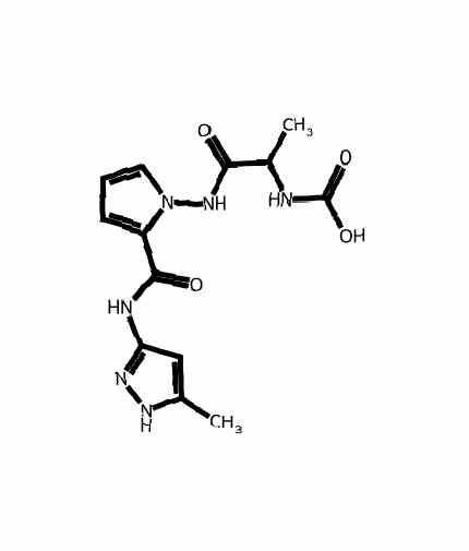 Cc1cc(NC(=O)c2cccn2NC(=O)C(C)NC(=O)O)n[nH]1